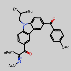 CCCCC/C(=N\OC(C)=O)C(=O)c1ccc2c(c1)c1cc(C(=O)c3ccc(OC(C)=O)cc3)ccc1n2CC(CC)CCCC